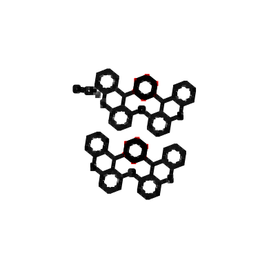 C=O.c1ccc(C2c3ccccc3Sc3cccc(Oc4cccc5c4C(c4ccccc4)c4ccccc4S5)c32)cc1.c1ccc(C2c3ccccc3Sc3cccc(Oc4cccc5c4C(c4ccccc4)c4ccccc4S5)c32)cc1